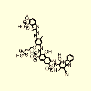 COc1ccc2nc(N=Nc3cc(OCCCS(=O)(=O)O)c(N=Nc4c(S(=O)(=O)O)cc5cc(S(=O)(=O)O)c(N=Nc6c(C)c(C#N)c7nc8ccccc8n7c6O)cc5c4O)cc3C)sc2c1S(=O)(=O)O